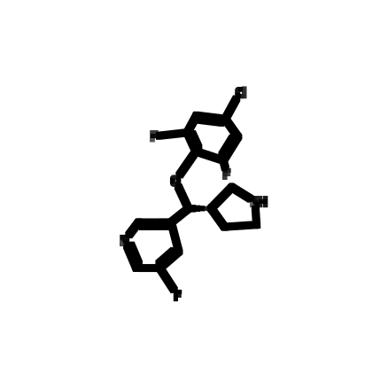 Fc1cncc(C(Oc2c(F)cc(Cl)cc2F)[C@H]2CCNC2)c1